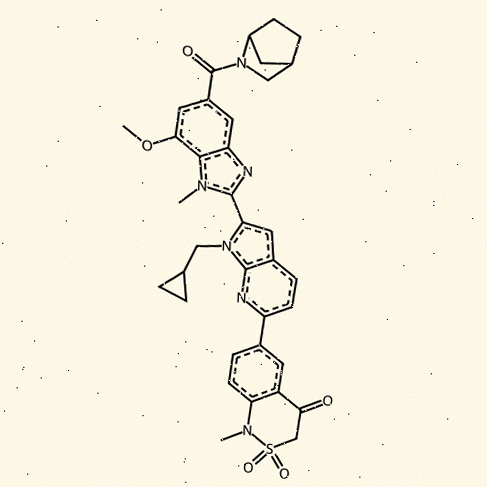 COc1cc(C(=O)N2CC3CCC2C3)cc2nc(-c3cc4ccc(-c5ccc6c(c5)C(=O)CS(=O)(=O)N6C)nc4n3CC3CC3)n(C)c12